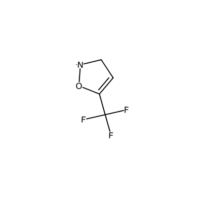 FC(F)(F)C1=CC[N]O1